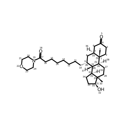 C[C@]12CCC(=O)C[C@@H]1C[C@@H](CCCCCCCC(=O)N1CCOCC1)[C@@H]1[C@@H]2CC[C@]2(C)[C@@H](O)CC[C@@H]12